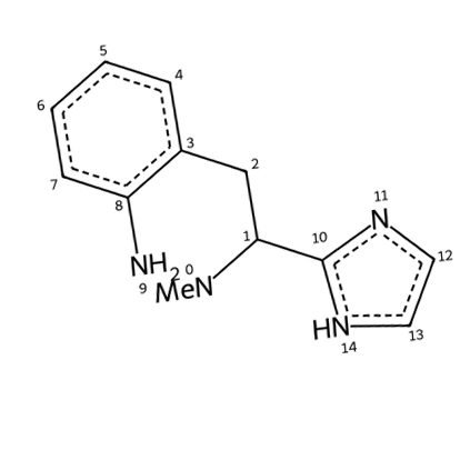 CNC(Cc1ccccc1N)c1ncc[nH]1